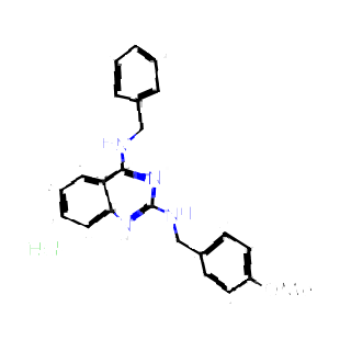 COc1ccc(CNc2nc(NCc3ccccc3)c3ccccc3n2)cc1.Cl